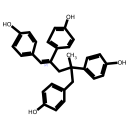 CC(C/C(=C/c1ccc(O)cc1)c1ccc(O)cc1)(Cc1ccc(O)cc1)c1ccc(O)cc1